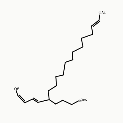 CCCCCCCCCCCCCC(C=C/C=C\O)CCCCCCCCCCC=COC(C)=O